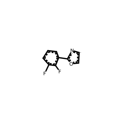 Fc1cccc(-c2n[c]co2)c1F